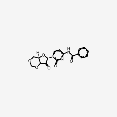 O=C(Nc1ccn([C@@H]2O[C@@H]3COCOC3C2=O)c(=O)n1)c1ccccc1